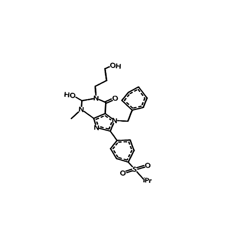 CC(C)S(=O)(=O)c1ccc(-c2nc3c(n2Cc2ccccc2)C(=O)N(CCCO)C(O)N3C)cc1